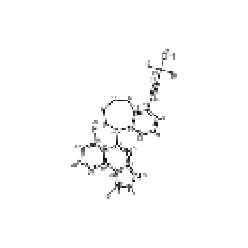 Cn1nnc2nc(N3CCCCc4c(C#CC(C)(C)O)cccc43)c3c(F)cncc3c21